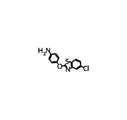 Nc1ccc(Oc2nc3cc(Cl)ccc3s2)cc1